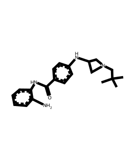 CC(C)(C)CN1CC(Nc2ccc(C(=O)Nc3ccccc3N)cc2)C1